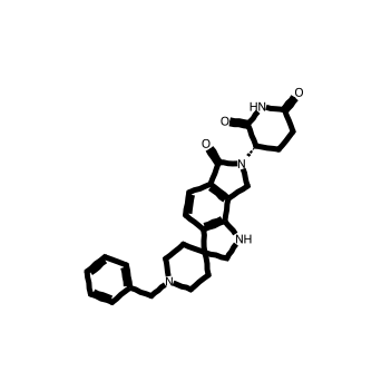 O=C1CC[C@H](N2Cc3c(ccc4c3NCC43CCN(Cc4ccccc4)CC3)C2=O)C(=O)N1